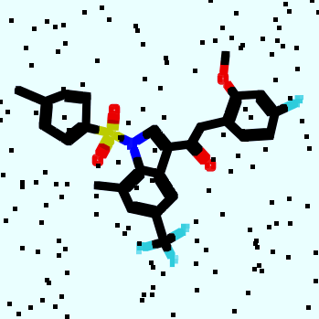 COc1cc(F)ccc1CC(=O)c1cn(S(=O)(=O)c2ccc(C)cc2)c2c(C)cc(C(F)(F)F)cc12